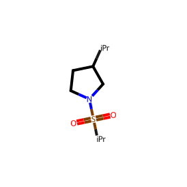 CC(C)C1CCN(S(=O)(=O)C(C)C)C1